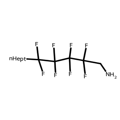 CCCCCCCC(F)(F)C(F)(F)C(F)(F)C(F)(F)CN